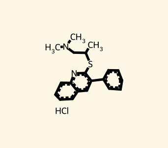 CC(CN(C)C)Sc1nc2ccccc2cc1-c1ccccc1.Cl